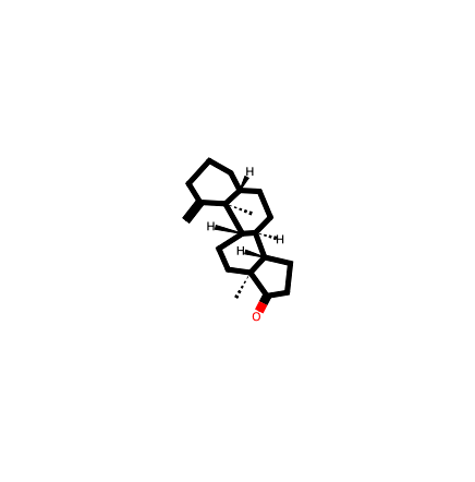 C=C1CCC[C@@H]2CC[C@@H]3[C@H](CC[C@]4(C)C(=O)CC[C@@H]34)[C@@]12C